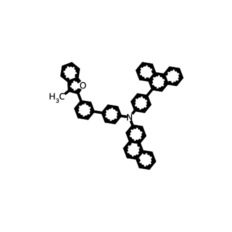 Cc1c(-c2cccc(-c3ccc(N(c4ccc(-c5cc6ccccc6c6ccccc56)cc4)c4ccc5c(ccc6ccccc65)c4)cc3)c2)oc2ccccc12